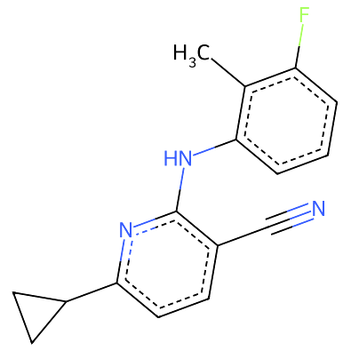 Cc1c(F)cccc1Nc1nc(C2CC2)ccc1C#N